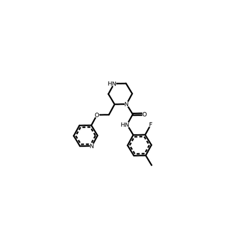 Cc1ccc(NC(=O)N2CCNCC2COc2cccnc2)c(F)c1